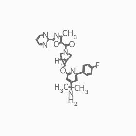 Cc1nc(-c2ncccn2)oc1C(=O)N1CC2[C@@H](C1)[C@@H]2Oc1cc(C(C)(C)N)cc(-c2ccc(F)cc2)n1